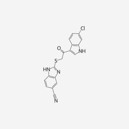 N#Cc1ccc2[nH]c(SCC(=O)c3c[nH]c4cc(Cl)ccc34)nc2c1